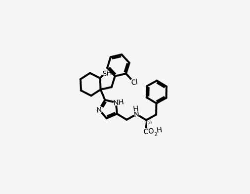 O=C(O)[C@H](Cc1ccccc1)NCc1cnc(C2(Cc3ccccc3Cl)CCCCC2S)[nH]1